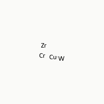 [Cr].[Cu].[W].[Zr]